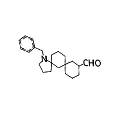 O=CC1CCCC2(CCCC3(CCCN3Cc3ccccc3)C2)C1